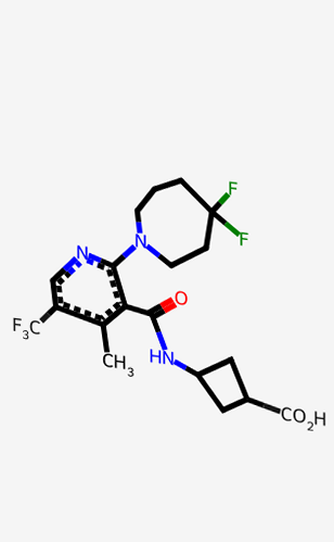 Cc1c(C(F)(F)F)cnc(N2CCCC(F)(F)CC2)c1C(=O)NC1CC(C(=O)O)C1